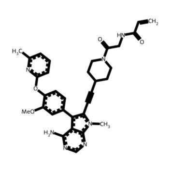 C=CC(=O)NCC(=O)N1CCC(C#Cc2c(-c3ccc(Oc4cccc(C)n4)c(OC)c3)c3c(N)ncnc3n2C)CC1